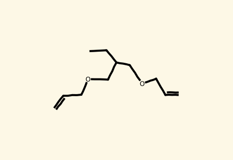 C=CCOC[C](CC)COCC=C